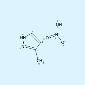 Cc1cc[nH]n1.O=[N+]([O-])O